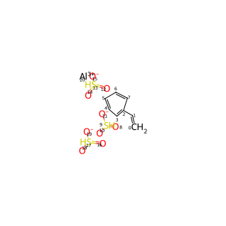 C=Cc1ccccc1.O=[SH](=O)[O-].O=[SH](=O)[O-].O=[SH](=O)[O-].[Al+3]